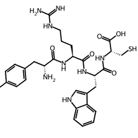 N=C(N)NCCC[C@H](NC(=O)[C@H](N)Cc1ccc(F)cc1)C(=O)N[C@@H](Cc1c[nH]c2ccccc12)C(=O)N[C@@H](CS)C(=O)O